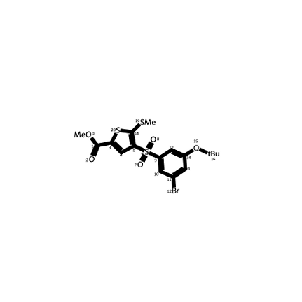 COC(=O)c1cc(S(=O)(=O)c2cc(Br)cc(OC(C)(C)C)c2)c(SC)s1